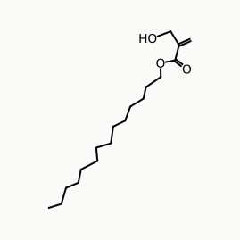 C=C(CO)C(=O)OCCCCCCCCCCCCCC